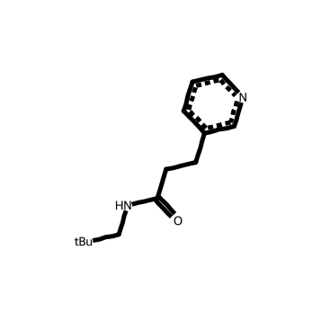 CC(C)(C)CNC(=O)CCc1cccnc1